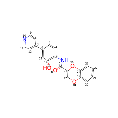 O=C(Nc1ccc(-c2ccncc2)cc1O)C1COc2ccccc2O1